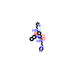 CN1CCN(CCCNC(=O)c2cn3c4c(c(NCCC5CCCN5C)c(F)cc4c2=O)Oc2cc4ccccc4cc2-3)CC1